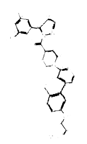 COCCOc1ccc(Cl)c(-c2ccnc(N3CCC(C(=O)N4N=CCC4c4cc(F)cc(F)c4)CC3)c2)c1